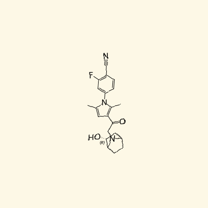 Cc1cc(C(=O)CN2C3CCC2[C@H](O)C3)c(C)n1-c1ccc(C#N)c(F)c1